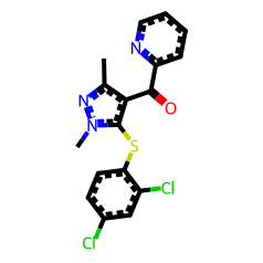 Cc1nn(C)c(Sc2ccc(Cl)cc2Cl)c1C(=O)c1ccccn1